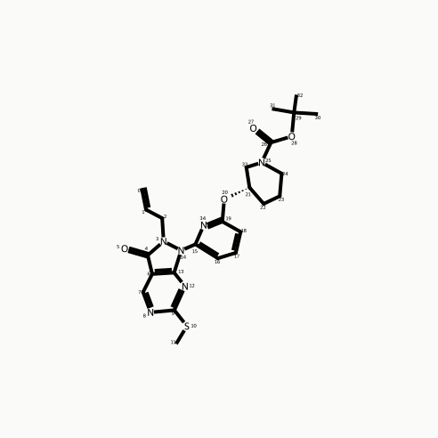 C=CCn1c(=O)c2cnc(SC)nc2n1-c1cccc(O[C@H]2CCCN(C(=O)OC(C)(C)C)C2)n1